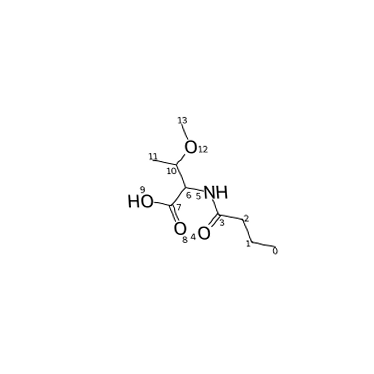 CCCC(=O)NC(C(=O)O)C(C)OC